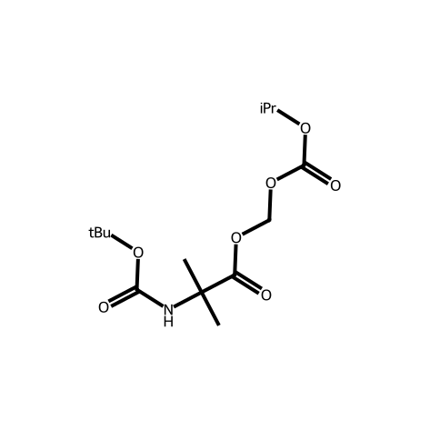 CC(C)OC(=O)OCOC(=O)C(C)(C)NC(=O)OC(C)(C)C